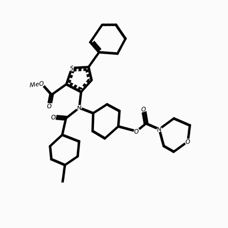 COC(=O)c1sc(C2=CCCCC2)cc1N(C(=O)C1CCC(C)CC1)C1CCC(OC(=O)N2CCOCC2)CC1